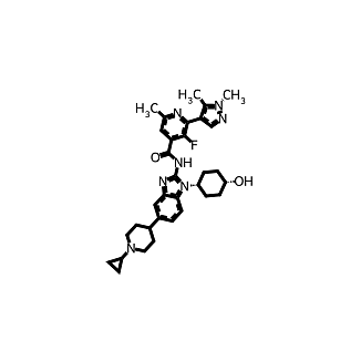 Cc1cc(C(=O)Nc2nc3cc(C4CCN(C5CC5)CC4)ccc3n2[C@H]2CC[C@@H](O)CC2)c(F)c(-c2cnn(C)c2C)n1